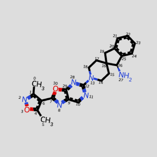 Cc1noc(C)c1-c1nc2cnc(N3CCC4(CC3)Cc3ccccc3[C@H]4N)nc2o1